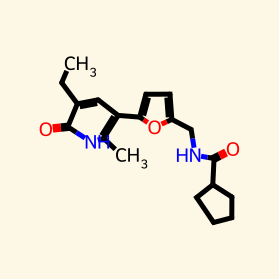 CCc1cc(-c2ccc(CNC(=O)C3CCCC3)o2)c(C)[nH]c1=O